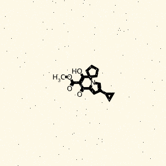 COC(=O)C1=C(O)C2(CCCC2)n2cc(C3CC3)cc2C1=O